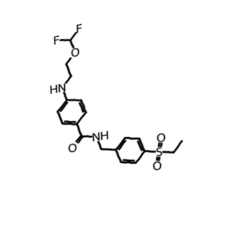 CCS(=O)(=O)c1ccc(CNC(=O)c2ccc(NCCOC(F)F)cc2)cc1